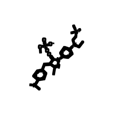 CCN(CC[N+](C)(C)C)c1ccc(N2N=C(C)/C(=C\c3ccc(N(C)C)cc3)C2=O)cc1.COS(=O)(=O)[O-]